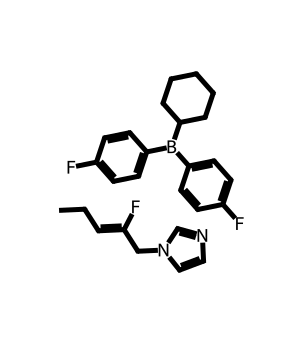 CCC=C(F)Cn1ccnc1.Fc1ccc(B(c2ccc(F)cc2)C2CCCCC2)cc1